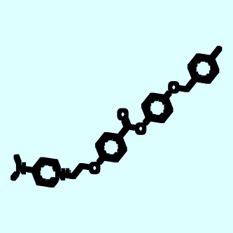 Cc1ccc(COc2ccc(OC(=O)c3ccc(OCC[n+]4ccc(N(C)C)cc4)cc3)cc2)cc1